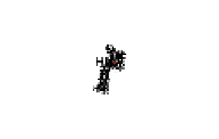 COCCn1c(C)c(F)c(-c2ccccc2)c1C(=O)C(=O)Nc1ccc(N2CCN(c3cc(C)cc(C)n3)CC2)cc1